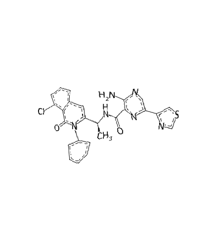 C[C@H](NC(=O)c1nc(-c2cscn2)cnc1N)c1cc2cccc(Cl)c2c(=O)n1-c1ccccc1